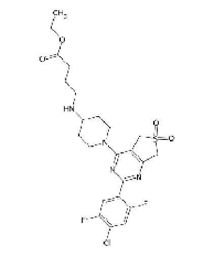 CCOC(=O)CCCNC1CCN(c2nc(-c3cc(F)c(Cl)cc3F)nc3c2CS(=O)(=O)C3)CC1